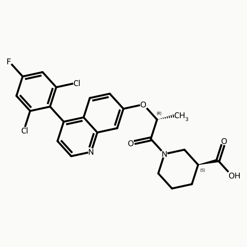 C[C@@H](Oc1ccc2c(-c3c(Cl)cc(F)cc3Cl)ccnc2c1)C(=O)N1CCC[C@H](C(=O)O)C1